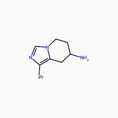 CC(C)c1ncn2c1CC(N)CC2